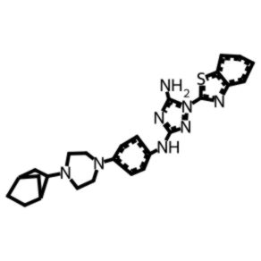 Nc1nc(Nc2ccc(N3CCN(C4CC5CCC4C5)CC3)cc2)nn1-c1nc2ccccc2s1